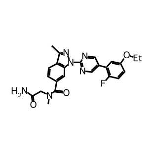 CCOc1ccc(F)c(-c2cnc(-n3nc(C)c4ccc(C(=O)N(C)CC(N)=O)cc43)nc2)c1